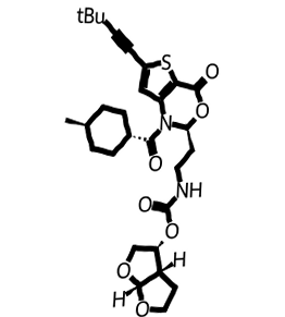 CC(C)(C)C#Cc1cc2c(s1)C(=O)O[C@@H](CCNC(=O)O[C@H]1CO[C@H]3OCC[C@H]31)N2C(=O)[C@H]1CC[C@H](C)CC1